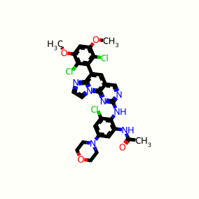 COc1cc(OC)c(Cl)c(-c2cc3cnc(Nc4c(Cl)cc(N5CCOCC5)cc4NC(C)=O)nc3n3ccnc23)c1Cl